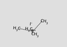 CCCCCCCCCCCCCCCC[P+](CCC)(CCC)CCCCCCCCCCCCCCCC.[I-]